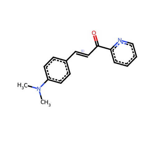 CN(C)c1ccc(/C=C/C(=O)c2ccccn2)cc1